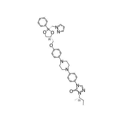 CC[C@H](C)n1ncn(-c2ccc(N3CCN(c4ccc(OC[C@@H]5CO[C@@](Cn6cccn6)(c6ccccc6)O5)cc4)CC3)cc2)c1=O